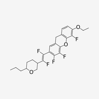 CCCC1CCC(/C(F)=C(\F)c2cc3c(c(F)c2F)Oc2c(ccc(OCC)c2F)C3)CO1